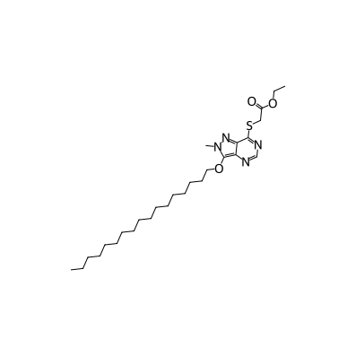 CCCCCCCCCCCCCCCCCOc1c2ncnc(SCC(=O)OCC)c2nn1C